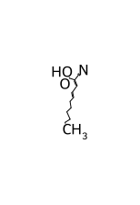 CCCCCCC=CC=C(C#N)C(=O)O